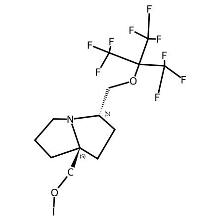 FC(F)(F)C(OC[C@@H]1CC[C@]2(COI)CCCN12)(C(F)(F)F)C(F)(F)F